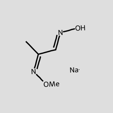 CON=C(C)C=NO.[Na]